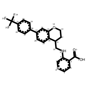 O=C(O)c1ccncc1NCC1CCOc2cc(-c3ccc(C(F)(F)F)cc3)ccc21